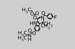 CCOC(=O)OC1=CN(C(=O)c2ccc(F)cc2)CC(C)(C)c2c1[nH]c1cc(OC(=O)NC(C)C)ccc21